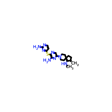 C=C1CCC2(CCN(c3cnc(Sc4ccnc(N)n4)c(N)n3)CC2)[C@@H]1NC